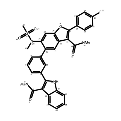 CNC(=O)c1c(-c2cccc(-c3cc4c(C(=O)NC)c(-c5ccc(F)cc5)oc4cc3N(C)S(C)(=O)=O)c2)[nH]c2ccccc12